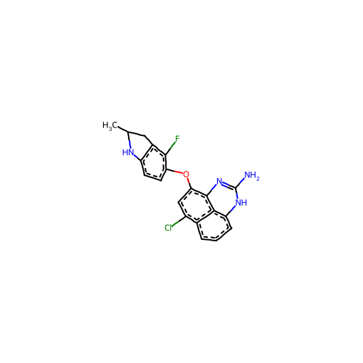 CC1Cc2c(ccc(Oc3cc(Cl)c4cccc5c4c3N=C(N)N5)c2F)N1